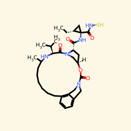 CC[C@@H]1C[C@]1(NC(=O)[C@@H]1C[C@@H]2CN1C(=O)[C@H](C(C)C)NC(C)CCCCCCc1cccc3c1CN(C3)C(=O)O2)C(=O)NS